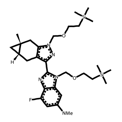 CNc1cc(F)c2nc(-c3nn(COCC[Si](C)(C)C)c4c3C[C@@H]3C[C@]3(C)C4)n(COCC[Si](C)(C)C)c2c1